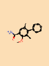 COc1c(C(N)=O)cc(C)c(-c2ccccc2)c1C